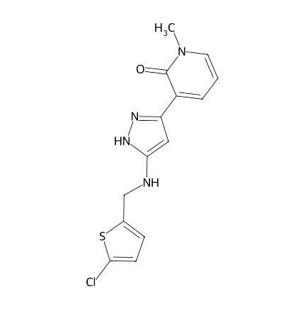 Cn1cccc(-c2cc(NCc3ccc(Cl)s3)[nH]n2)c1=O